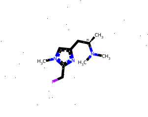 C[C@H](Cc1cn(C)c(CI)n1)N(C)C